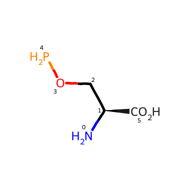 N[C@@H](COP)C(=O)O